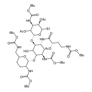 CCC1O[C@H](O[C@@H]2C(O)C(O[C@H]3OC(CNC(=O)OC(C)(C)C)CCC3NC(=O)OC(C)(C)C)[C@H](NC(=O)OC(C)(C)C)C[C@H]2NC(=O)[C@H](CCNC(=O)OC(C)(C)C)OC(C)=O)C(OC(C)=O)[C@@H](NC(=O)OC(C)(C)C)[C@H]1OC(C)=O